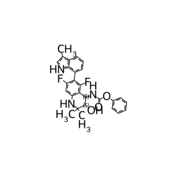 Cc1c[nH]c2c(-c3c(F)cc4c(c3F)[C@@H](NC(=O)Oc3ccccc3)[C@H](O)C(C)(C)N4)cccc12